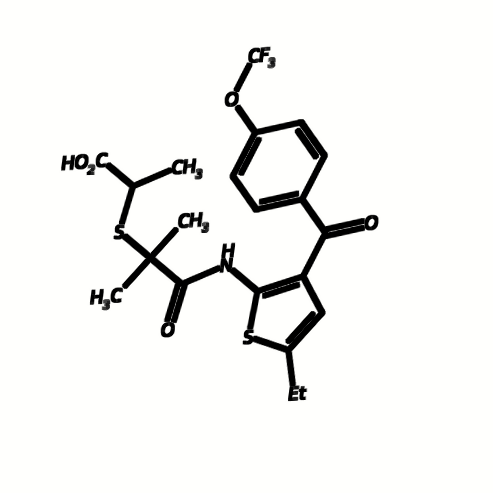 CCc1cc(C(=O)c2ccc(OC(F)(F)F)cc2)c(NC(=O)C(C)(C)SC(C)C(=O)O)s1